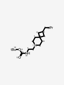 CC(C)CC1CC2(CCN(CCNC(=O)OC(C)(C)C)CC2)C1